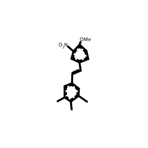 COc1ccc(/C=C/c2cc(C)c(C)c(C)c2)cc1[N+](=O)[O-]